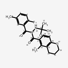 Cc1ccc(F)c(C(=O)N(NC(C)(C)C)C(=O)c2ccc3c(c2C)CCCO3)c1